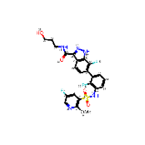 COc1ncc(F)cc1S(=O)(=O)Nc1cccc(-c2ccc3c(C(=O)NCCCO)n[nH]c3c2F)c1F